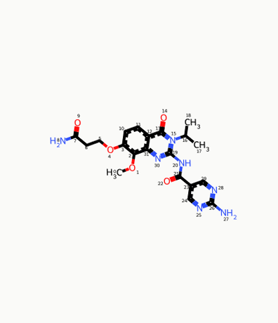 COc1c(OCCC(N)=O)ccc2c(=O)n(C(C)C)c(NC(=O)c3cnc(N)nc3)nc12